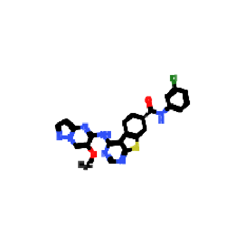 COc1cn2nccc2nc1Nc1ncnc2sc3c(c12)CC[C@H](C(=O)Nc1cccc(Cl)c1)C3